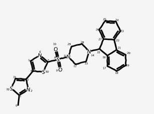 Cc1nc(-c2cnc(S(=O)(=O)N3CCN(C4c5ccccc5-c5ccccc54)CC3)s2)cs1